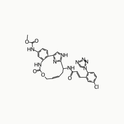 COC(=O)Nc1ccc2c(c1)NC(=O)OCC=CCC(NC(=O)C=Cc1cc(Cl)ccc1-n1cnnn1)c1nc-2c[nH]1